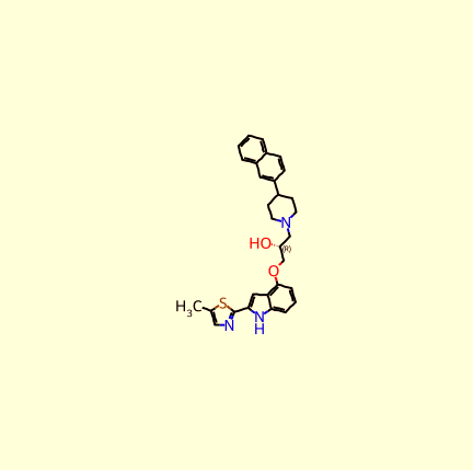 Cc1cnc(-c2cc3c(OC[C@H](O)CN4CCC(c5ccc6ccccc6c5)CC4)cccc3[nH]2)s1